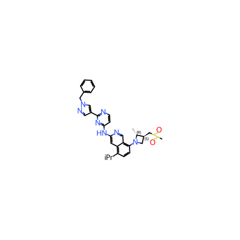 CC(C)c1ccc(N2C[C@H](CS(C)(=O)=O)[C@H]2C)c2cnc(Nc3ccnc(-c4cnn(Cc5ccccc5)c4)n3)cc12